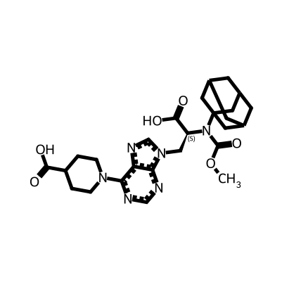 COC(=O)N([C@@H](Cn1cnc2c(N3CCC(C(=O)O)CC3)ncnc21)C(=O)O)C12CC3CC(CC(C3)C1)C2